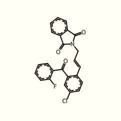 O=C(c1ccccc1F)c1cc(Cl)ccc1C=CCN1C(=O)c2ccccc2C1=O